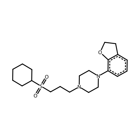 O=S(=O)(CCCN1CCN(c2cccc3c2OCC3)CC1)C1CCCCC1